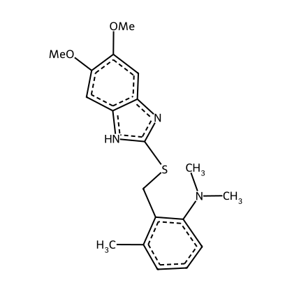 COc1cc2nc(SCc3c(C)cccc3N(C)C)[nH]c2cc1OC